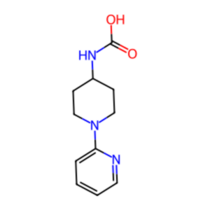 O=C(O)NC1CCN(c2ccccn2)CC1